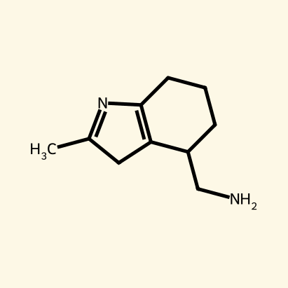 CC1=NC2=C(C1)C(CN)CCC2